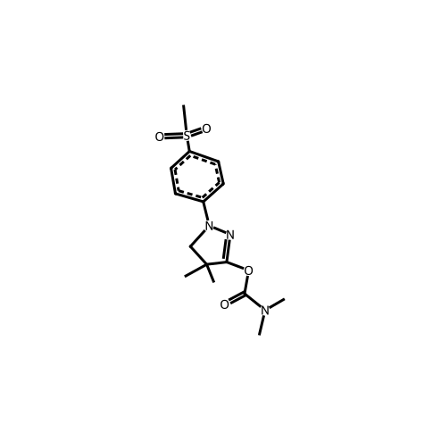 CN(C)C(=O)OC1=NN(c2ccc(S(C)(=O)=O)cc2)CC1(C)C